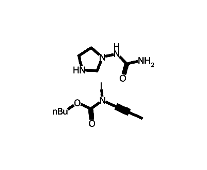 CC#CN(I)C(=O)OCCCC.NC(=O)NN1CCNC1